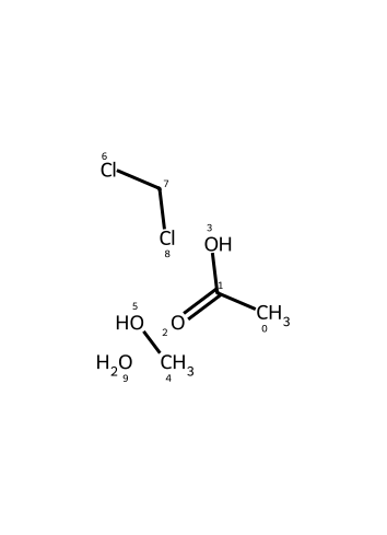 CC(=O)O.CO.ClCCl.O